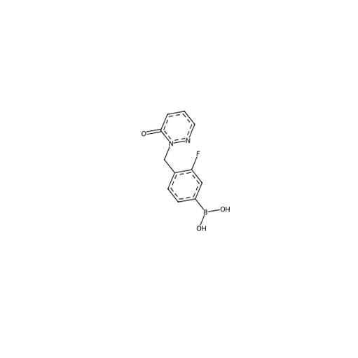 O=c1cccnn1Cc1ccc(B(O)O)cc1F